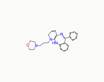 C1=CC2=C(Nc3ccccc3C(c3ccccc3)=N2)N(CCCN2CCOCC2)C1